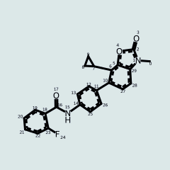 Cn1c(=O)oc2c(C3CC3)c(-c3ccc(NC(=O)c4ccccc4F)cc3)ccc21